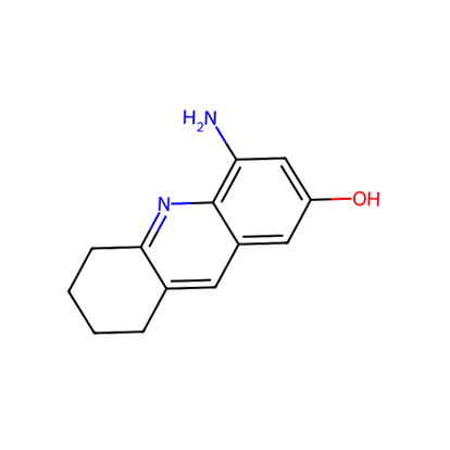 Nc1cc(O)cc2cc3c(nc12)CCCC3